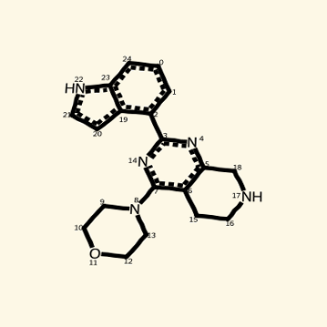 c1cc(-c2nc3c(c(N4CCOCC4)n2)CCNC3)c2cc[nH]c2c1